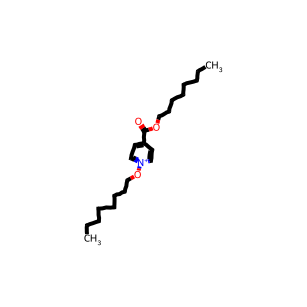 CCCCCCCCOC(=O)c1cc[n+](OCCCCCCCC)cc1